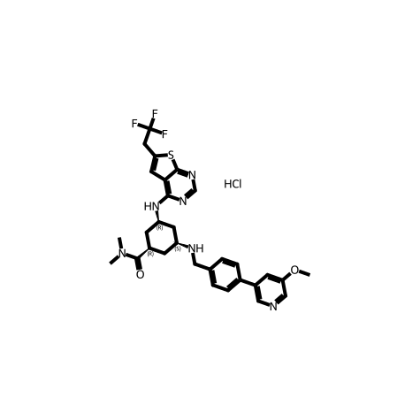 COc1cncc(-c2ccc(CN[C@@H]3C[C@H](Nc4ncnc5sc(CC(F)(F)F)cc45)C[C@H](C(=O)N(C)C)C3)cc2)c1.Cl